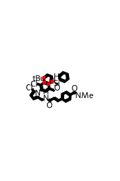 CNC(=O)c1ccc(C=CC(=O)NCc2ccc(Cl)n2-c2cc(CO[SiH](c3ccccc3)c3ccccc3)c(Cl)c(C(C)(C)C)c2Cl)cc1